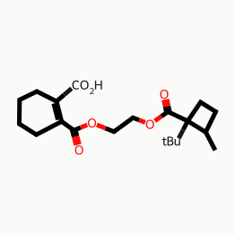 CC1CCC1(C(=O)OCCOC(=O)C1=C(C(=O)O)CCCC1)C(C)(C)C